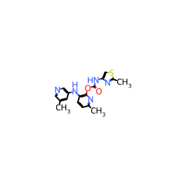 Cc1cncc(Nc2ccc(C)nc2OC(=O)Nc2csc(C)n2)c1